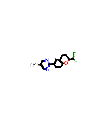 CCCc1cnc(-c2ccc3c(c2)CCC(C(F)F)O3)nc1